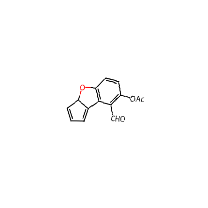 CC(=O)Oc1ccc2c(c1C=O)C1=CC=CC1O2